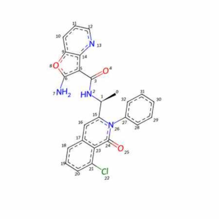 C[C@H](NC(=O)c1c(N)oc2cccnc12)c1cc2cccc(Cl)c2c(=O)n1-c1ccccc1